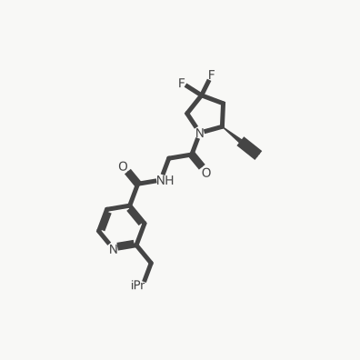 C#C[C@@H]1CC(F)(F)CN1C(=O)CNC(=O)c1ccnc(CC(C)C)c1